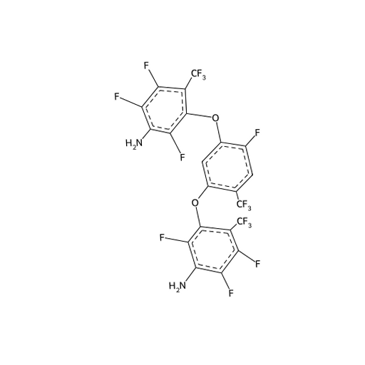 Nc1c(F)c(F)c(C(F)(F)F)c(Oc2cc(Oc3c(F)c(N)c(F)c(F)c3C(F)(F)F)c(C(F)(F)F)cc2F)c1F